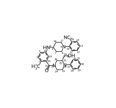 Cc1ccc(NC2CCN(c3ccccc3C#N)CC2)cc1C(=O)N1CCN(c2ccccc2)[C@H](CO)C1